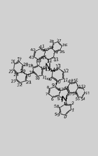 c1ccc(-n2c3cccc(-c4cccc(N(c5ccc(-c6cccc7ccccc67)cc5)C5Cc6ccccc6-c6ccccc65)c4)c3c3ccc4ccccc4c32)cc1